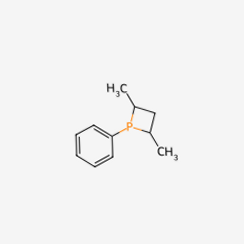 CC1CC(C)P1c1ccccc1